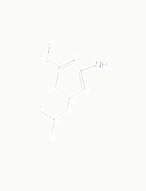 CSc1cc(N)cc(CC(C)C)c1